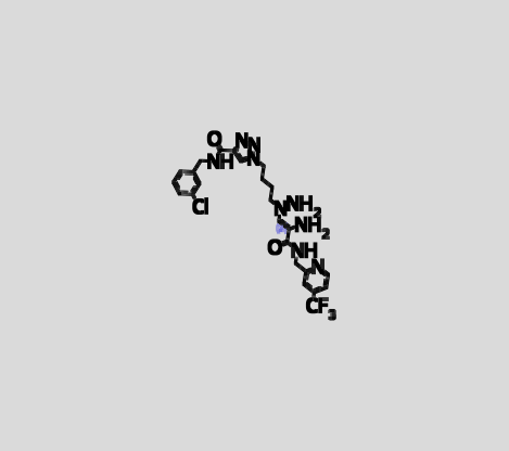 N/C(=C\N(N)CCCCn1cc(C(=O)NCc2cccc(Cl)c2)nn1)C(=O)NCc1cc(C(F)(F)F)ccn1